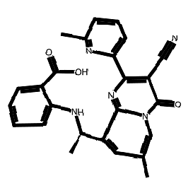 Cc1cc([C@@H](C)Nc2ccccc2C(=O)O)c2nc(-c3cccc(C)n3)c(C#N)c(=O)n2c1